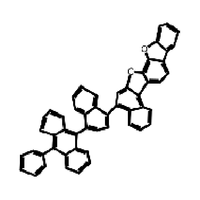 c1ccc(-c2c3ccccc3c(-c3ccc(-c4cc5oc6c(ccc7c8ccccc8oc76)c5c5ccccc45)c4ccccc34)c3ccccc23)cc1